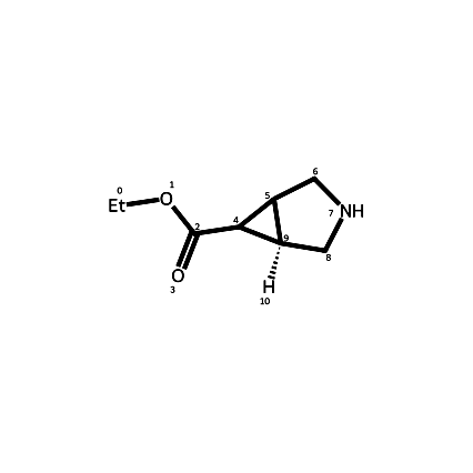 CCOC(=O)C1C2CNC[C@H]21